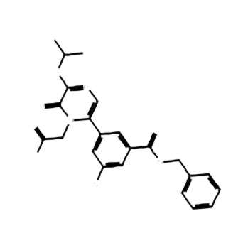 CC(C)Nc1ncc(-c2cc(N)cc(C(=O)NCc3ccccc3)c2)n(CC(=O)O)c1=O